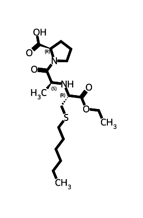 CCCCCCSC[C@H](N[C@@H](C)C(=O)N1CCC[C@@H]1C(=O)O)C(=O)OCC